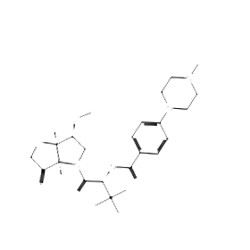 CO[C@H]1CN(C(=O)[C@@H](NC(=O)c2ccc(N3CCN(C)CC3)cc2)C(C)(C)C)[C@@H]2C(=O)CO[C@H]12